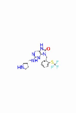 O=c1[nH]c2cnc(NC[C@@H]3CCNC3)nc2n1Cc1ccccc1SC(F)(F)F